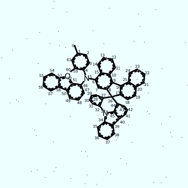 Cc1ccc(N(c2cc3c(c4ccccc24)-c2c(ccc4ccccc24)C32c3ccccc3-n3c4ccccc4c4cccc2c43)c2cccc3c2oc2ccccc23)c(C)c1